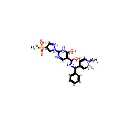 C=N/C=C\C(=C/C)C(NC(O)C1=C(O)NC(N2CC(P(C)(=O)O)C=N2)N=C1)c1ccccc1